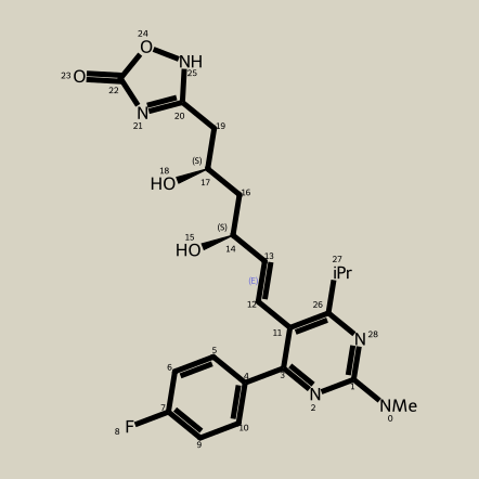 CNc1nc(-c2ccc(F)cc2)c(/C=C/[C@@H](O)C[C@@H](O)Cc2nc(=O)o[nH]2)c(C(C)C)n1